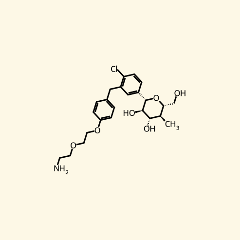 C[C@H]1[C@H](O)[C@@H](O)[C@H](c2ccc(Cl)c(Cc3ccc(OCCOCCN)cc3)c2)O[C@@H]1CO